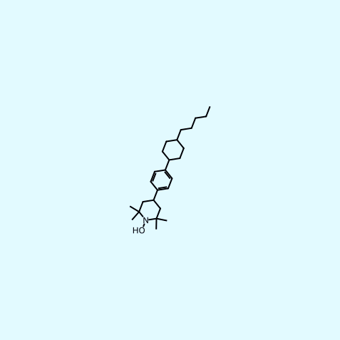 CCCCCC1CCC(c2ccc(C3CC(C)(C)N(O)C(C)(C)C3)cc2)CC1